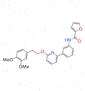 COc1ccc(CCOc2cccc(-c3cccc(NC(=O)c4ccco4)c3)n2)cc1OC